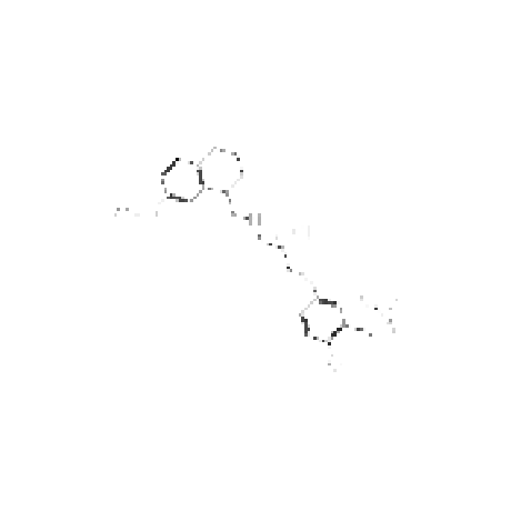 COc1ccc2c(c1)C(CNC[C@@H](O)COc1ccc(O)c(NS(C)(=O)=O)c1)CCC2